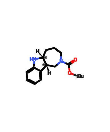 CC(C)(C)OC(=O)N1CCC[C@@H]2Nc3ccccc3[C@@H]2C1